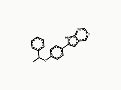 CC(Oc1ccc(-c2cc3cncnc3[nH]2)cc1)c1ccccc1